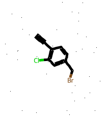 C#Cc1ccc(CBr)cc1Cl